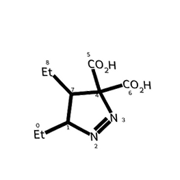 CCC1N=NC(C(=O)O)(C(=O)O)C1CC